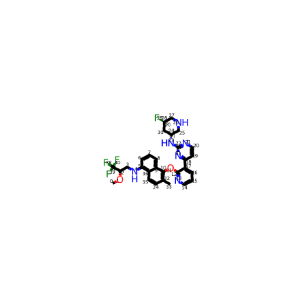 COC(CNc1cccc2c(Oc3ncccc3-c3ccnc(N[C@H]4CNC[C@H](F)C4)n3)c(C)ccc12)C(F)(F)F